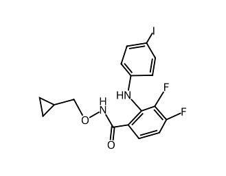 O=C(NOCC1CC1)c1ccc(F)c(F)c1Nc1ccc(I)cc1